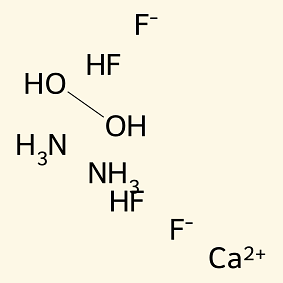 F.F.N.N.OO.[Ca+2].[F-].[F-]